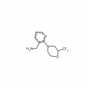 NCc1cccnc1N1CCOC(C(F)(F)F)C1